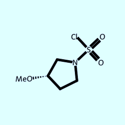 CO[C@H]1CCN(S(=O)(=O)Cl)C1